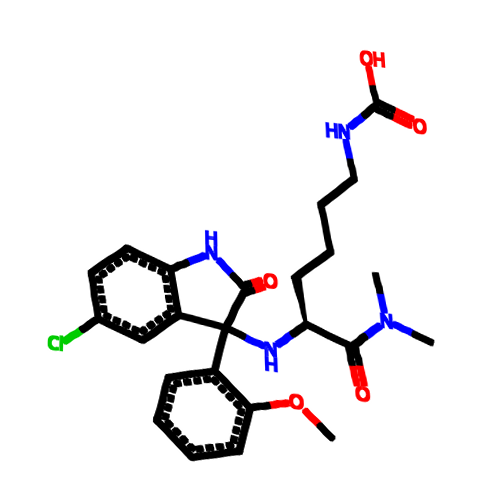 COc1ccccc1C1(N[C@@H](CCCCNC(=O)O)C(=O)N(C)C)C(=O)Nc2ccc(Cl)cc21